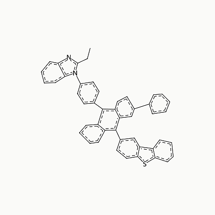 CCc1nc2ccccc2n1-c1ccc(-c2c3ccccc3c(-c3ccc4sc5ccccc5c4c3)c3cc(-c4ccccc4)ccc23)cc1